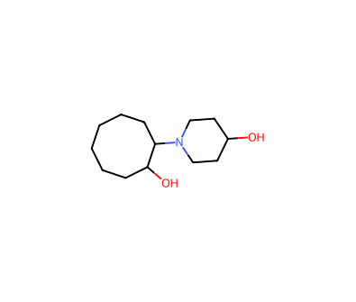 OC1CCN(C2CCCCCCC2O)CC1